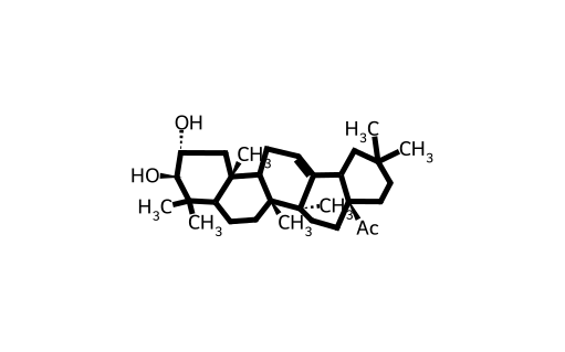 CC(=O)[C@]12CCC(C)(C)CC1C1=CCC3[C@@]4(C)C[C@@H](O)[C@H](O)C(C)(C)C4CC[C@@]3(C)[C@]1(C)CC2